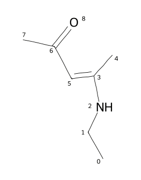 CCNC(C)=CC(C)=O